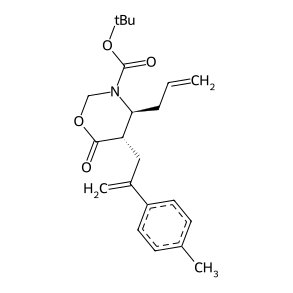 C=CC[C@H]1[C@H](CC(=C)c2ccc(C)cc2)C(=O)OCN1C(=O)OC(C)(C)C